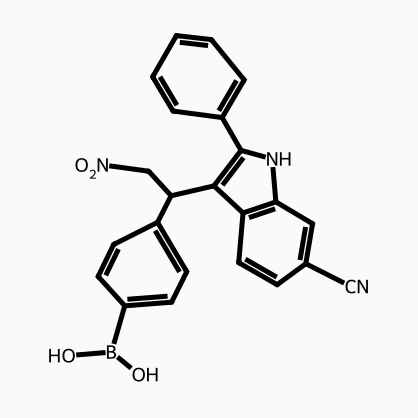 N#Cc1ccc2c(C(C[N+](=O)[O-])c3ccc(B(O)O)cc3)c(-c3ccccc3)[nH]c2c1